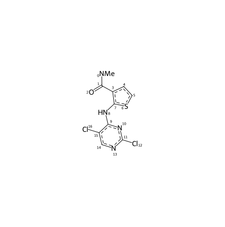 CNC(=O)c1ccsc1Nc1nc(Cl)ncc1Cl